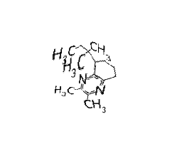 CCC(C)(C)C1CCCc2nc(C)c(C)nc21